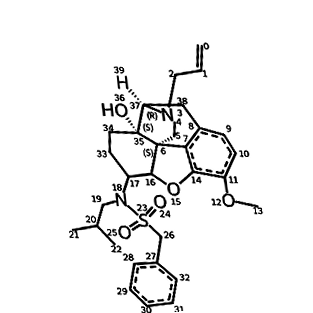 C=CCN1CC[C@]23c4c5ccc(OC)c4OC2C(N(CC(C)C)S(=O)(=O)Cc2ccccc2)CC[C@@]3(O)[C@H]1C5